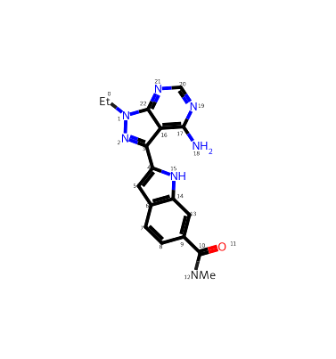 CCn1nc(-c2cc3ccc(C(=O)NC)cc3[nH]2)c2c(N)ncnc21